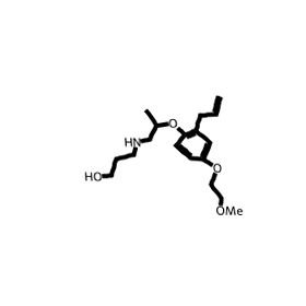 C=CCc1cc(OCCOC)ccc1OC(C)CNCCCO